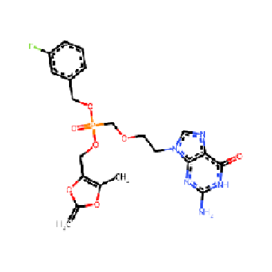 C=C1OC(C)=C(COP(=O)(COCCn2cnc3c(=O)[nH]c(N)nc32)OCc2cccc(F)c2)O1